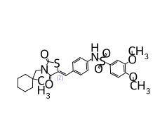 COc1ccc(S(=O)(=O)Nc2ccc(/C=C3\SC(=O)N(CC4(C)CCCCC4)C3=O)cc2)cc1OC